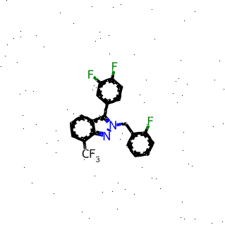 Fc1ccc(-c2c3cccc(C(F)(F)F)c3nn2Cc2ccccc2F)cc1F